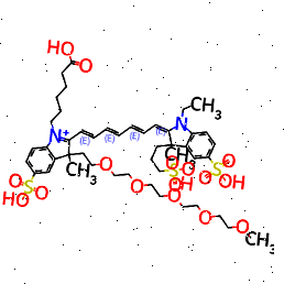 CCN1/C(=C/C=C/C=C/C=C/C2=[N+](CCCCCC(=O)O)c3ccc(S(=O)(=O)O)cc3C2(C)CCOCCOCCOCCOCCOC)C(C)(CCCS(=O)(=O)O)c2cc(S(=O)(=O)O)ccc21